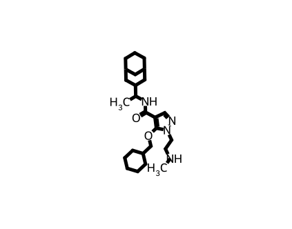 CNCCn1ncc(C(=O)NC(C)C2CC3CCCC(C3)C2)c1OCC1CCCCC1